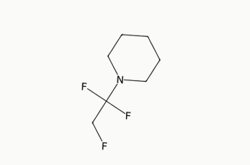 FCC(F)(F)N1CCCCC1